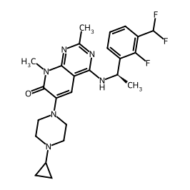 Cc1nc(N[C@H](C)c2cccc(C(F)F)c2F)c2cc(N3CCN(C4CC4)CC3)c(=O)n(C)c2n1